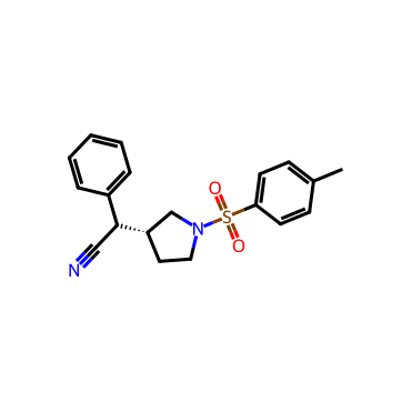 Cc1ccc(S(=O)(=O)N2CC[C@H](C(C#N)c3ccccc3)C2)cc1